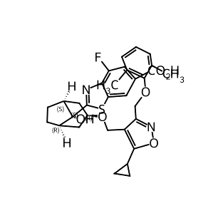 Cc1cccc(C)c1OCc1noc(C2CC2)c1CO[C@H]1C[C@H]2CC[C@@H](C1)[C@@]2(O)c1nc2c(F)cc(C(=O)O)cc2s1